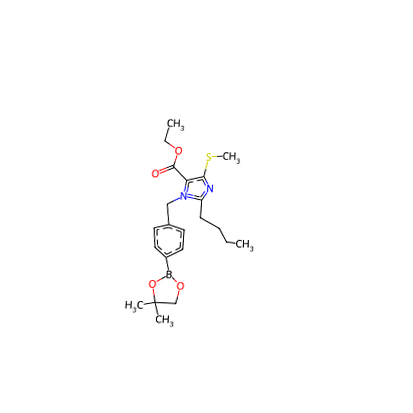 CCCCc1nc(SC)c(C(=O)OCC)n1Cc1ccc(B2OCC(C)(C)O2)cc1